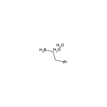 BCCC(C)C.O.O